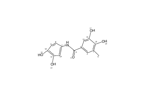 Cc1cc(C(=O)Nc2ccc(O)c(O)c2)cc(O)c1O